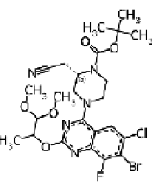 COC(OC)C(C)Oc1nc(N2CCN(C(=O)OC(C)(C)C)[C@@H](CC#N)C2)c2cc(Cl)c(Br)c(F)c2n1